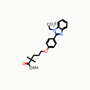 CCOC(=O)Cn1c(-c2ccc(OCCCC(C)(C)C(=O)OC)cc2)nc2ccccc21